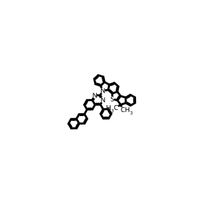 CC1(C)c2ccccc2-c2c1sc1c2ccc2c3ccccc3n(-c3nc(-c4ccccc4)c4cc(-c5ccc6ccccc6c5)ccc4n3)c21